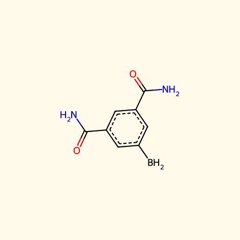 Bc1cc(C(N)=O)cc(C(N)=O)c1